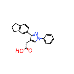 O=C(O)Cc1cn(-c2ccccc2)nc1-c1ccc2c(c1)CCC2